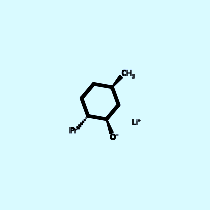 CC(C)[C@@H]1CC[C@@H](C)C[C@H]1[O-].[Li+]